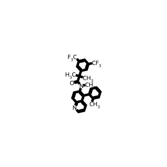 Cc1ccccc1-c1c(N(C)C(=O)C(C)(C)c2cc(C(F)(F)F)cc(C(F)(F)F)c2)ccc2ncccc12